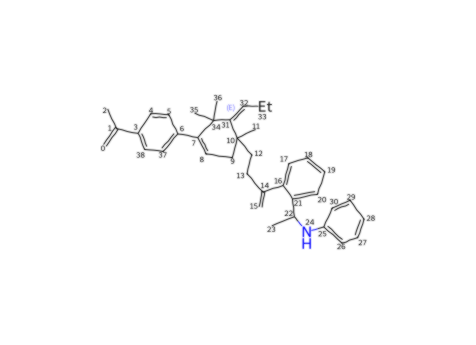 C=C(C)c1ccc(C2=CCC(C)(CCC(=C)c3ccccc3C(C)Nc3ccccc3)/C(=C\CC)C2(C)C)cc1